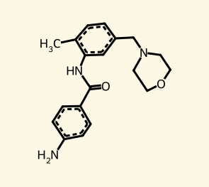 Cc1ccc(CN2CCOCC2)cc1NC(=O)c1ccc(N)cc1